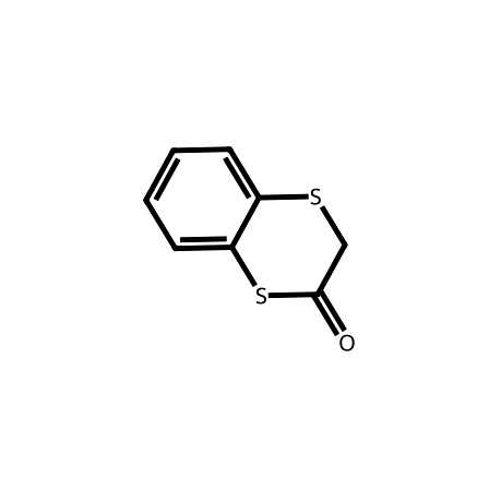 O=C1CSc2ccccc2S1